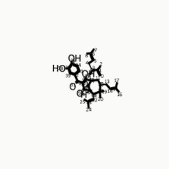 C=C(C)[C@H](CC=C(C)C)C[C@@]12C[C@@H](CC=C(C)C)C(C)(C)[C@@H](C=C(C)C)[C@H](C(=O)C(C(=O)c3ccc(O)c(O)c3)=C1O)C2=O